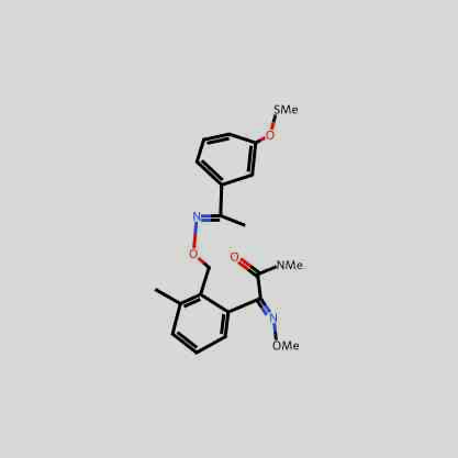 CNC(=O)/C(=N/OC)c1cccc(C)c1CO/N=C(\C)c1cccc(OSC)c1